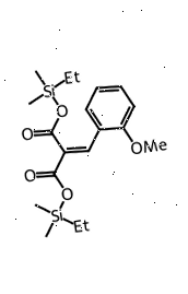 CC[Si](C)(C)OC(=O)C(=Cc1ccccc1OC)C(=O)O[Si](C)(C)CC